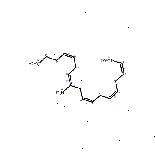 CCCCC/C=C\C/C=C\C/C=C\C/C(=C\C/C=C\CC[C]=O)[N+](=O)[O-]